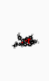 COc1ccc(CN(Cc2ccc(OC)cc2)S(=O)(=O)c2c(S(=O)(=O)C3CN(C(=O)OC(C)(C)C)C3)ccc(-c3cccn(CC(N)=O)/c3=N\S(=O)(=O)c3ccc(C)cc3)c2-c2nnnn2Cc2ccc(OC)cc2)cc1